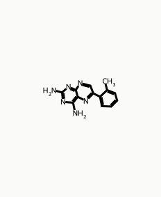 Cc1ccccc1-c1cnc2nc(N)nc(N)c2n1